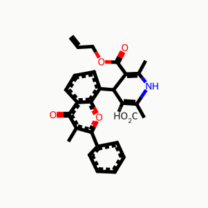 C=CCOC(=O)C1=C(C)NC(C)=C(C(=O)O)C1c1cccc2c(=O)c(C)c(-c3ccccc3)oc12